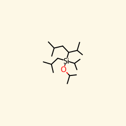 CC(C)CC(C(C)C)[Si](CC(C)C)(OC(C)C)C(C)C